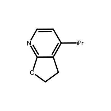 CC(C)c1ccnc2c1CCO2